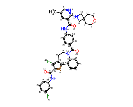 Cc1cnc(N2CC3(CCOCC3)C2)c(C(=O)Nc2ccc(C(=O)N3CCc4c(sc(C(=O)Nc5cccc(F)c5)c4F)-c4ccccc43)cc2)c1